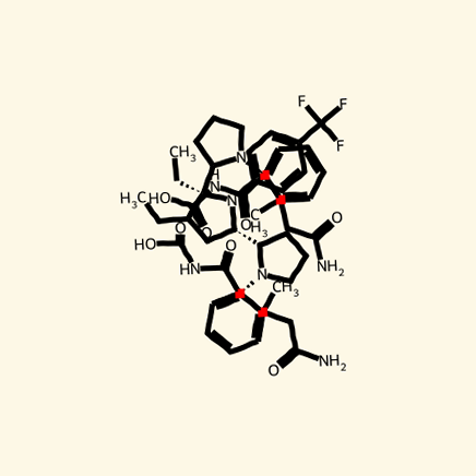 CCC1C[C@@H](C2CCCN2[C@@]2(C(=O)NC(=O)O)c3ccc(cc3)C2(C)CC(N)=O)N(c2ccc(C(F)(F)F)cc2)[C@]1(CC)C1CCCN1[C@@]1(C(=O)NC(=O)O)c2ccc(cc2)C1(C)CC(N)=O